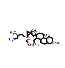 CCO[C@]1(CC[C@H](C)CN)C[C@]1(C)C[C@@]1(C)CCC2C(CCC3C[C@@H](O)CC[C@@]32C)C1CC